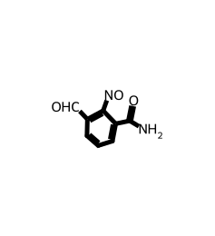 NC(=O)c1cccc(C=O)c1N=O